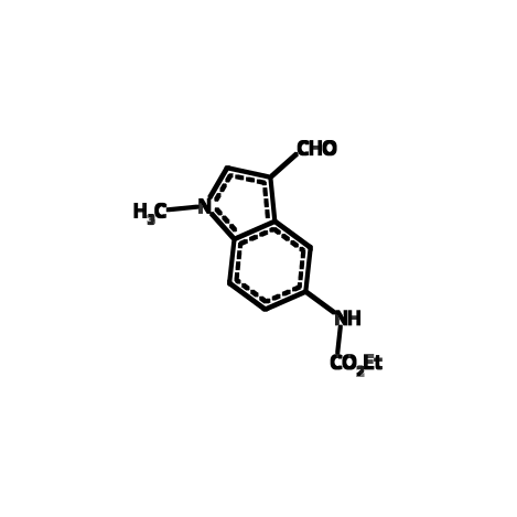 CCOC(=O)Nc1ccc2c(c1)c(C=O)cn2C